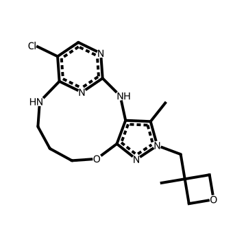 Cc1c2c(nn1CC1(C)COC1)OCCCNc1nc(ncc1Cl)N2